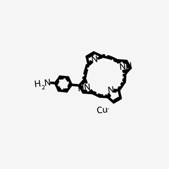 Nc1ccc(-c2cc3cc4nc(cc5ccc(cc6nc(cc2[nH]3)C=C6)[nH]5)C=C4)cc1.[Cu]